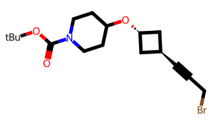 CC(C)(C)OC(=O)N1CCC(O[C@H]2C[C@H](C#CCBr)C2)CC1